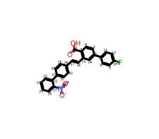 O=C(O)c1ccc(-c2ccc(F)cc2)cc1/C=C/c1ccc(-c2ccccc2[N+](=O)[O-])cc1